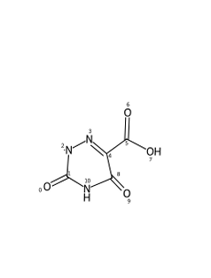 O=C1[N]N=C(C(=O)O)C(=O)N1